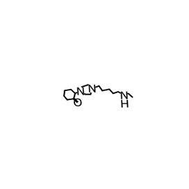 CCNCCCCCN1CCN(C2CCCCC2=O)CC1